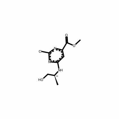 COC(=O)c1cc(N[C@@H](C)CO)nc(Cl)n1